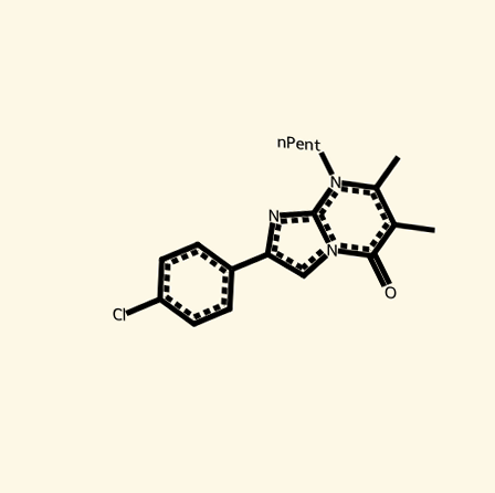 CCCCCn1c(C)c(C)c(=O)n2cc(-c3ccc(Cl)cc3)nc12